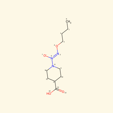 CCCCO/N=[N+](\[O-])N1CCC(C(=O)O)CC1